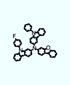 Fc1ccc(-n2c3ccccc3c3ccc(N(c4ccc5c(c4)oc4ccccc45)c4ccc5c(c4)c4ccccc4n5-c4ccccc4)cc32)cc1